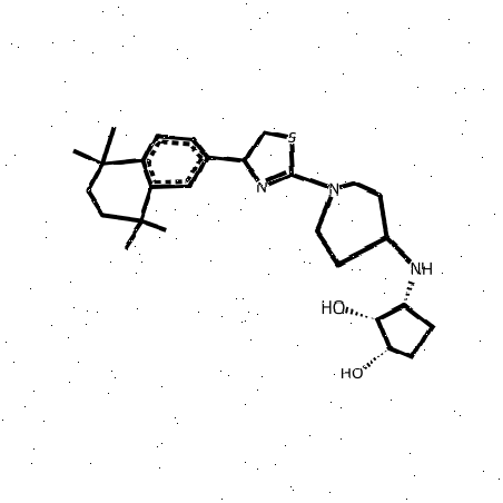 CC1(C)CCC(C)(C)c2cc(C3CSC(N4CCC(N[C@@H]5CC[C@H](O)[C@@H]5O)CC4)=N3)ccc21